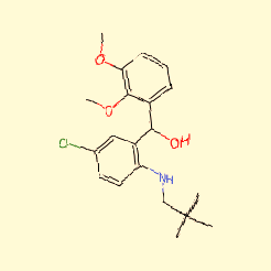 COc1cccc(C(O)c2cc(Cl)ccc2NCC(C)(C)C)c1OC